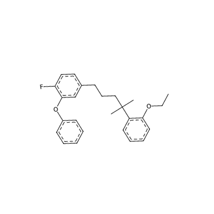 CCOc1ccccc1C(C)(C)CCCc1ccc(F)c(Oc2ccccc2)c1